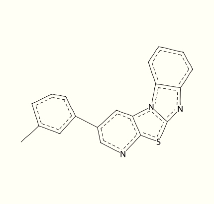 Cc1cccc(-c2cnc3sc4nc5ccccc5n4c3c2)c1